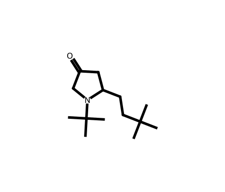 CC(C)(C)CCC1CC(=O)CN1C(C)(C)C